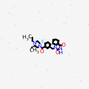 CCCN1CCN(C(=O)c2cc(Cn3c(=O)[nH]c(=O)c4ccccc43)ccc2F)C[C@H]1CC